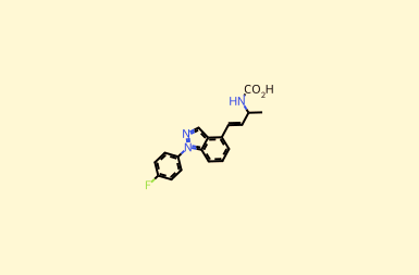 CC(C=Cc1cccc2c1cnn2-c1ccc(F)cc1)NC(=O)O